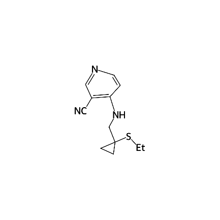 CCSC1(CNc2ccncc2C#N)CC1